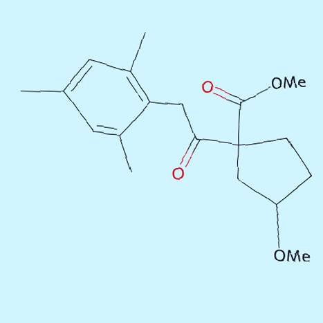 COC(=O)C1(C(=O)Cc2c(C)cc(C)cc2C)CCC(OC)C1